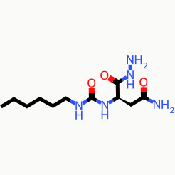 CCCCCCNC(=O)N[C@H](CC(N)=O)C(=O)NN